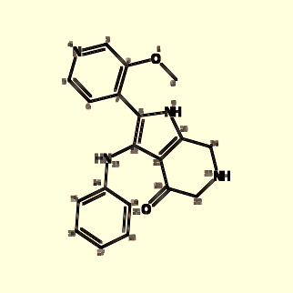 COc1cnccc1-c1[nH]c2c(c1Nc1ccccc1)C(=O)CNC2